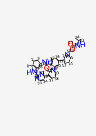 Cc1ccc(NC(=O)c2ccc(C3CCCN(COC(=O)NC(C)C)C3)cc2)cc1Nc1nccc(-c2cccnc2)n1